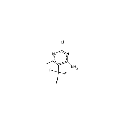 Cc1nc(Cl)nc(N)c1C(F)(F)F